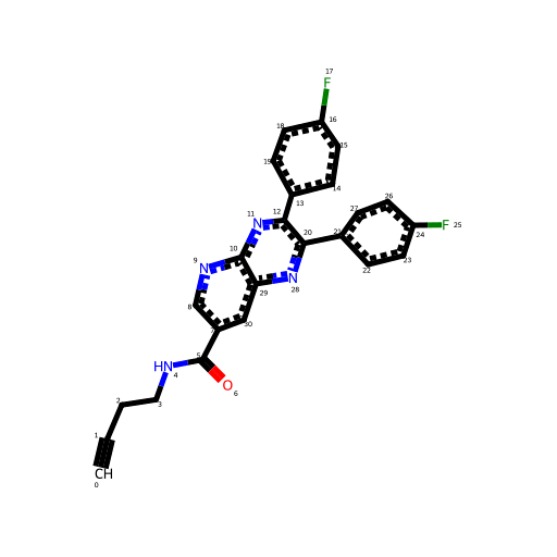 C#CCCNC(=O)c1cnc2nc(-c3ccc(F)cc3)c(-c3ccc(F)cc3)nc2c1